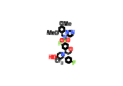 COc1ccc(CN(c2ccncn2)S(=O)(=O)c2cc3c(cc2F)[C@H](N2CC[C@@](O)(C(F)(F)F)C[C@H]2c2ccc(F)cc2)CCO3)c(OC)c1